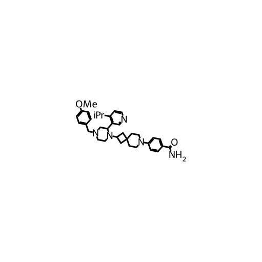 COc1ccc(CN2CCN(C3CC4(CCN(c5ccc(C(N)=O)cc5)CC4)C3)C(c3cnccc3C(C)C)C2)cc1